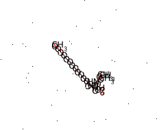 COCCOCCOCCOCCOCCOCCOCCOCCOCCOCCOCCOCCC(=O)N1CC(CNC(=O)OCC2c3ccccc3-c3ccccc32)(OCC(=O)NCCC(=O)OC(C)(C)C)C1